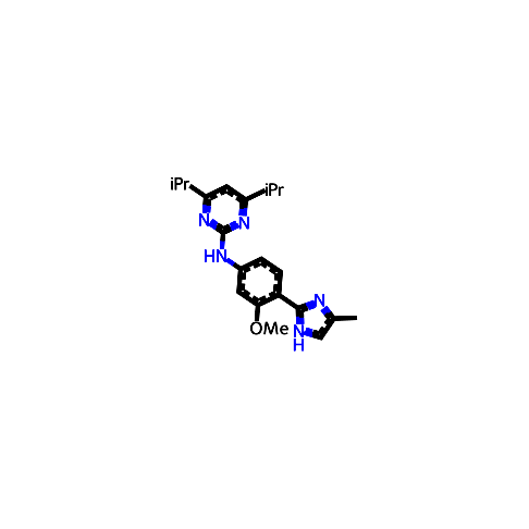 COc1cc(Nc2nc(C(C)C)cc(C(C)C)n2)ccc1-c1nc(C)c[nH]1